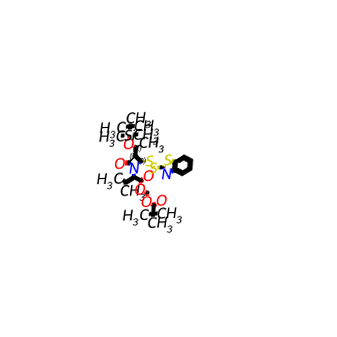 CC(C)=C(C(=O)OCOC(=O)C(C)(C)C)N1C(=O)[C@@H]([C@@H](C)O[Si](C)(C)C(C)(C)C)[C@H]1SSc1nc2ccccc2s1